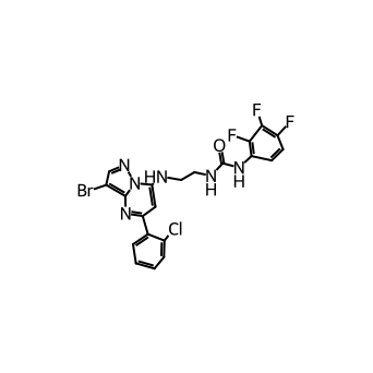 O=C(NCCNc1cc(-c2ccccc2Cl)nc2c(Br)cnn12)Nc1ccc(F)c(F)c1F